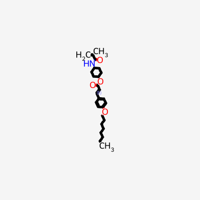 C=C(C)C(=O)N[C@H]1CC[C@H](OC(=O)/C=C/c2ccc(OCCCCCCCC)cc2)CC1